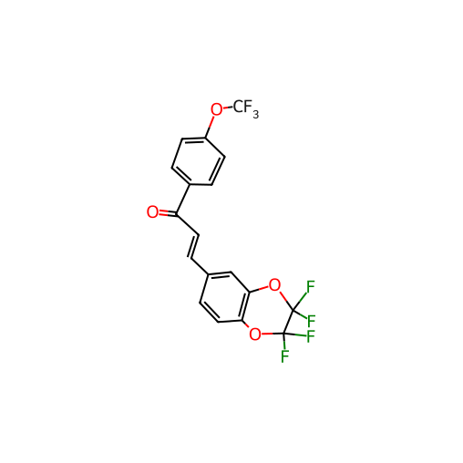 O=C(C=Cc1ccc2c(c1)OC(F)(F)C(F)(F)O2)c1ccc(OC(F)(F)F)cc1